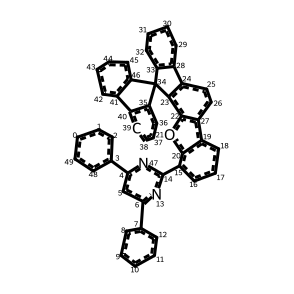 c1ccc(-c2cc(-c3ccccc3)nc(-c3cccc4c3oc3c5c(ccc34)-c3ccccc3C53c4ccccc4-c4ccccc43)n2)cc1